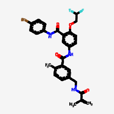 C=C(C)C(=O)NCc1ccc(C(F)(F)F)c(C(=O)Nc2ccc(OCC(F)F)c(C(=O)Nc3ccc(Br)cc3)c2)c1